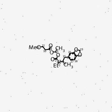 CCN(C(=O)OC(C)OC(=O)CCOC)C(C)Cc1ccc2c(c1)OCO2